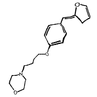 C1=COC(=Cc2ccc(OCCCN3CCOCC3)cc2)C1